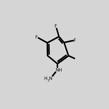 Cc1c(NN)cc(F)c(F)c1F